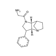 NCC(=O)N1CC(c2ccccc2)[C@@H]2[C@H]1C1CCN2C1